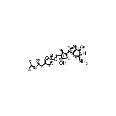 C=C1C(COP2(=O)OCC(CC(=O)OC(C)C)CO2)[C@@H](O)C[C@@H]1n1cnc2c(=O)[nH]c(N)nc21